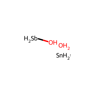 O.[OH][SbH2].[SnH2]